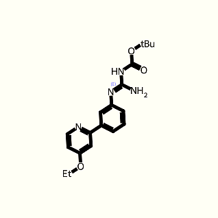 CCOc1ccnc(-c2cccc(/N=C(\N)NC(=O)OC(C)(C)C)c2)c1